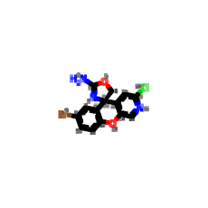 NC1=N[C@@]2(CO1)c1cc(Br)ccc1Oc1cnc(Cl)cc12